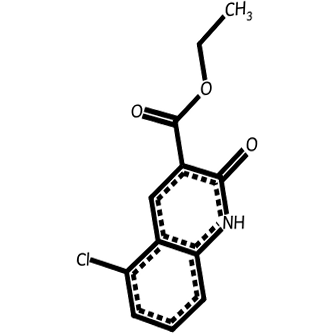 CCOC(=O)c1cc2c(Cl)cccc2[nH]c1=O